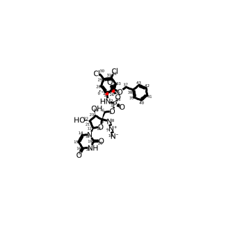 C[C@@H](NP(=O)(OC[C@@]1(N=[N+]=[N-])O[C@@H](n2ccc(=O)[nH]c2=O)[C@H](O)[C@@H]1O)Oc1ccc(Cl)c(Cl)c1)C(=O)OCc1ccccc1